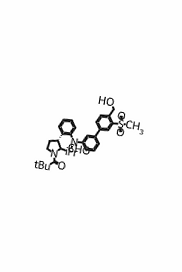 CC(C)C1[C@@H](c2ccccc2N(C=O)c2cccc(-c3ccc(CO)c(S(C)(=O)=O)c3)c2)CCN1C(=O)C(C)(C)C